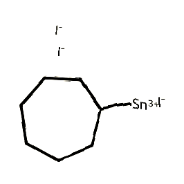 [I-].[I-].[I-].[Sn+3][CH]1CCCCCC1